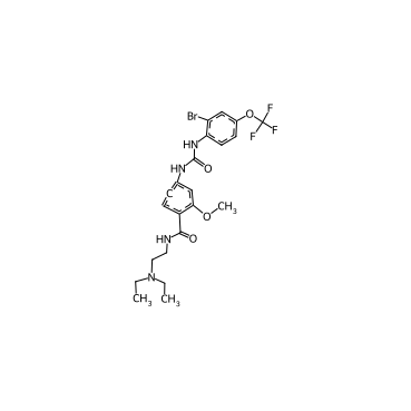 CCN(CC)CCNC(=O)c1ccc(NC(=O)Nc2ccc(OC(F)(F)F)cc2Br)cc1OC